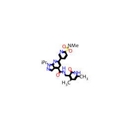 CNS(=O)(=O)c1ccc(-c2cc(C(=O)NCc3c(C)cc(C)[nH]c3=O)c3cnn(C(C)C)c3n2)cn1